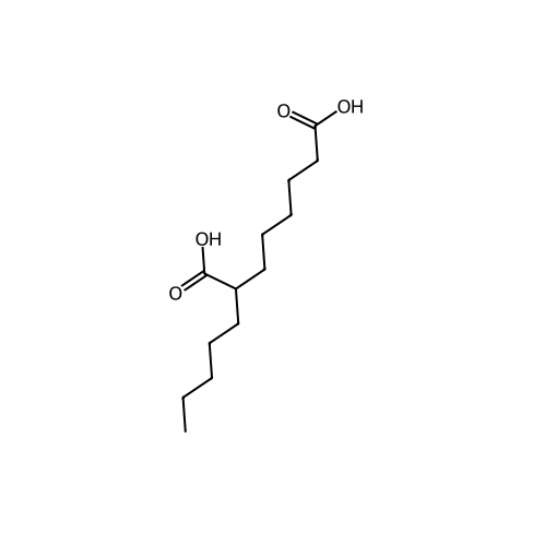 CCCCCC(CCCCCC(=O)O)C(=O)O